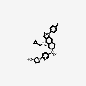 [O-][S+](c1ccc(N2CC[C@@H](O)C2)nc1)N1CCC2=Cc3c(cnn3-c3ccc(F)cc3)C[C@]2(COCC2CC2)C1